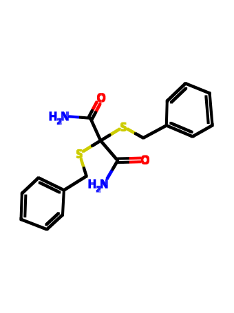 NC(=O)C(SCc1ccccc1)(SCc1ccccc1)C(N)=O